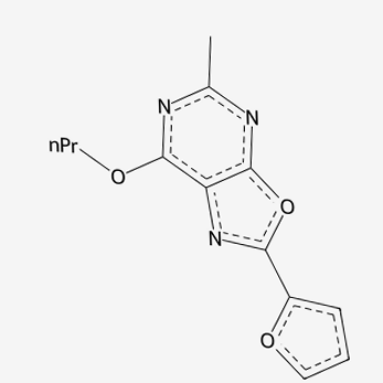 CCCOc1nc(C)nc2oc(-c3ccco3)nc12